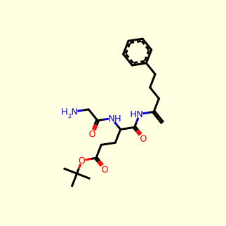 C=C(CCCc1ccccc1)NC(=O)C(CCC(=O)OC(C)(C)C)NC(=O)CN